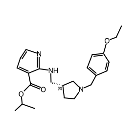 CCOc1ccc(CN2CC[C@H](CNc3ncccc3C(=O)OC(C)C)C2)cc1